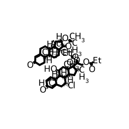 CC(=O)[C@@]12OC(C)(C)O[C@@H]1C[C@H]1[C@@H]3CCC4=CC(=O)CC[C@]4(C)[C@H]3CC[C@@]12C.CCC(=O)OCC(=O)[C@@]1(OC(=O)CC)[C@H](C)C[C@H]2[C@H]3[C@H]([C@@H](O)C[C@@]21C)[C@@]1(C)C=CC(=O)C=C1C[C@H]3Cl